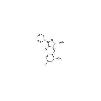 Cc1cc(N)ccc1/C=C1\C(=O)N(c2ccccc2)N=C1C#N